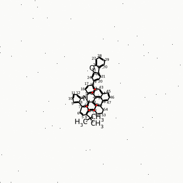 CC(C)(C)c1ccc(-c2ccccc2N(c2ccc(-c3ccc4c(c3)oc3ccccc34)cc2)c2ccccc2-c2cccc3cccc(C4CCCCC4)c23)cc1